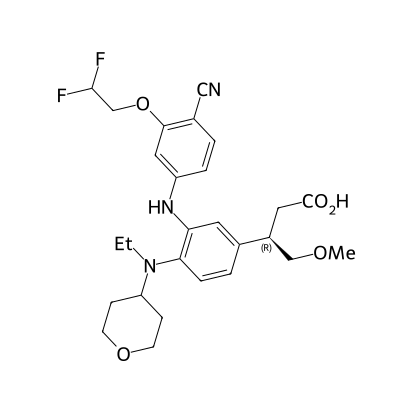 CCN(c1ccc([C@H](COC)CC(=O)O)cc1Nc1ccc(C#N)c(OCC(F)F)c1)C1CCOCC1